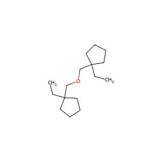 CCC1(COCC2(CC)CCCC2)CCCC1